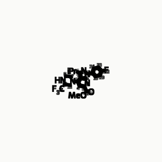 COC(=O)c1cc(N2CCNC(C(F)(F)F)C2)c2c(C(C)C)nn(-c3ccc(F)cc3)c2n1